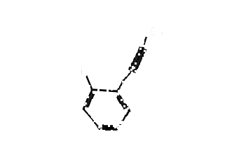 CC(C)(C)C#Cc1ccccc1F